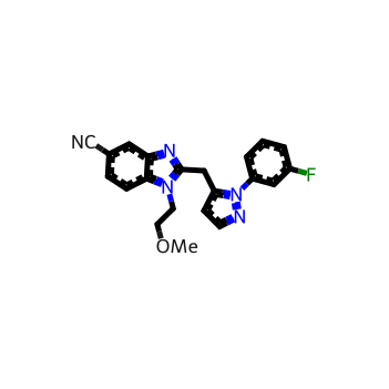 COCCn1c(Cc2ccnn2-c2cccc(F)c2)nc2cc(C#N)ccc21